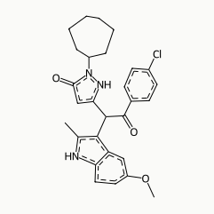 COc1ccc2[nH]c(C)c(C(C(=O)c3ccc(Cl)cc3)c3cc(=O)n(C4CCCCCC4)[nH]3)c2c1